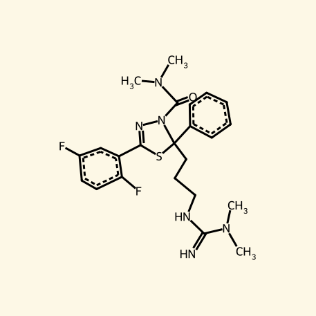 CN(C)C(=N)NCCCC1(c2ccccc2)SC(c2cc(F)ccc2F)=NN1C(=O)N(C)C